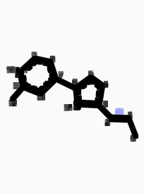 C/C=C/c1ccc(-c2ccnc(C)c2)s1